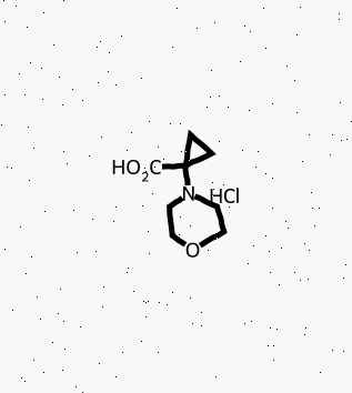 Cl.O=C(O)C1(N2CCOCC2)CC1